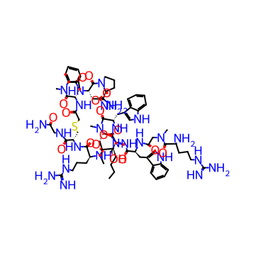 CCCC[C@@H](C(=O)N(C)[C@@H](CCCC)C(=O)N[C@@H](CCCNC(=N)N)C(=O)N[C@@H](CSCC(=O)N[C@@H](Cc1ccccc1)C(=O)N(C)[C@@H](C)C(=O)N[C@@H](CC(N)=O)C(=O)N1CCC[C@H]1C(N)=O)C(=O)NCC(N)=O)N(C)C(=O)[C@H](Cc1c[nH]c2ccccc12)NC(=O)[C@H](CO)NC(=O)[C@H](Cc1c[nH]c2ccccc12)NC(=O)CN(C)C(=O)[C@@H](N)CCCNC(=N)N